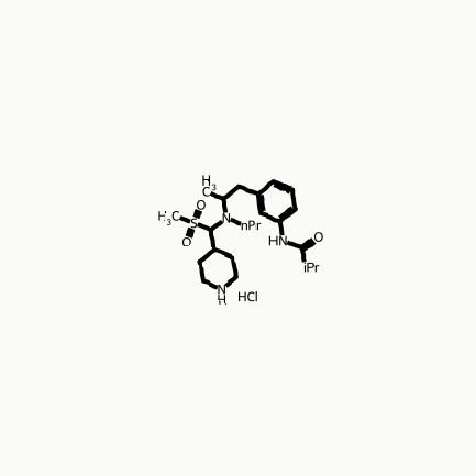 CCCN(C(C)Cc1cccc(NC(=O)C(C)C)c1)C(C1CCNCC1)S(C)(=O)=O.Cl